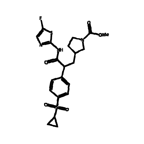 COC(=O)N1CCC(CC(C(=O)Nc2ncc(F)s2)c2ccc(S(=O)(=O)C3CC3)cc2)C1